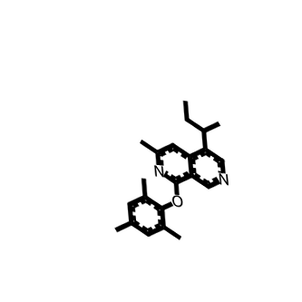 CCC(C)c1cncc2c(Oc3c(C)cc(C)cc3C)nc(C)cc12